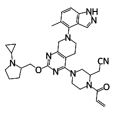 C=CC(=O)N1CCN(c2nc(OCC3CCCN3C3CC3)nc3c2CCN(c2c(C)ccc4[nH]ncc24)C3)CC1CC#N